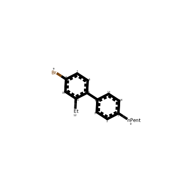 CCCCCc1ccc(-c2ccc(Br)cc2CC)cc1